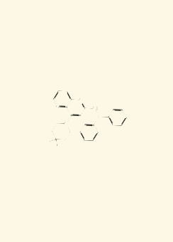 FC1(F)CCN(c2cc(NC(c3ccccc3)c3ccccc3)nc3cccnc23)CC1